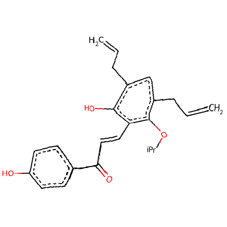 C=CCc1cc(CC=C)c(OC(C)C)c(/C=C/C(=O)c2ccc(O)cc2)c1O